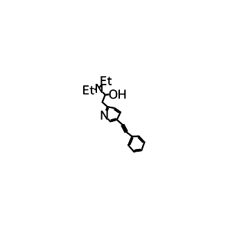 CCN(CC)C(O)Cc1ccc(C#Cc2ccccc2)cn1